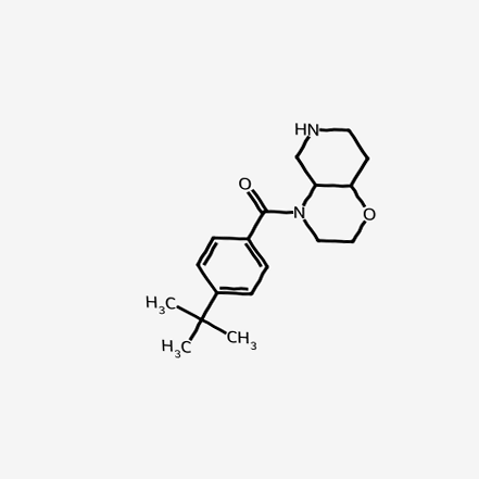 CC(C)(C)c1ccc(C(=O)N2CCOC3CCNCC32)cc1